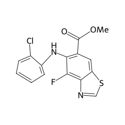 COC(=O)c1cc2scnc2c(F)c1Nc1ccccc1Cl